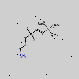 CO[Si](C=CC(C)(C)CCCN)(OC)OC